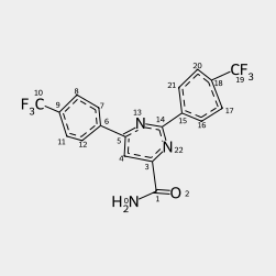 NC(=O)c1cc(-c2ccc(C(F)(F)F)cc2)nc(-c2ccc(C(F)(F)F)cc2)n1